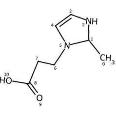 CC1NC=CN1CCC(=O)O